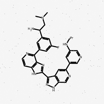 CC(C)Nc1cncc(-c2cc3c(-c4nc5c(-c6cc(F)cc(C(N)CN(C)C)c6)nccc5[nH]4)n[nH]c3cn2)c1